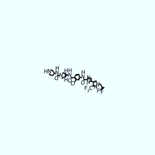 Cn1c(-c2cn(CC3CC3(F)F)nc2C(F)(F)F)cnc1C(=O)Nc1ccc(C(=O)N[C@H]2[C@@H]3CN(C(=O)N[C@H]4CCNC4)C[C@@H]32)c(Cl)c1